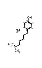 CC(C)CCCCCc1ccc(O)cc1.[Nd]